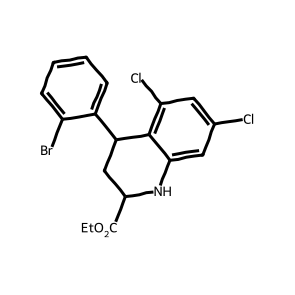 CCOC(=O)C1CC(c2ccccc2Br)c2c(Cl)cc(Cl)cc2N1